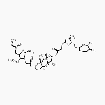 C=C1C[C@H](CCC(=O)C[C@H]2O[C@H]3[C@@H](O)[C@H]4C[C@@H](CC(=O)C[C@@H]5[C@@H](OC)[C@@H](C[C@H](O)CO)O[C@H]5C)CC[C@@H]4O[C@H]3[C@H]2O)O[C@H]1CC[C@H]1CCC(=C)[C@@H](C)O1